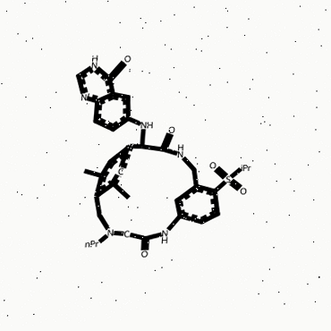 CCCN1CC(=O)Nc2ccc(S(=O)(=O)C(C)C)c(c2)CNC(=O)C(Nc2ccc3nc[nH]c(=O)c3c2)c2cc(C)c(c(C)c2)C1